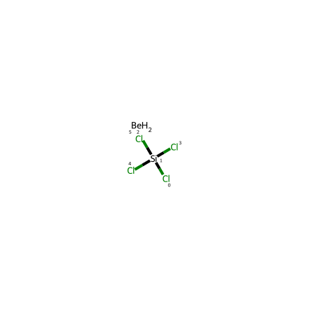 Cl[Si](Cl)(Cl)Cl.[BeH2]